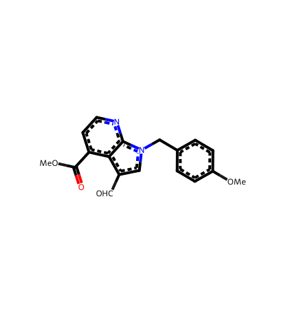 COC(=O)c1ccnc2c1c(C=O)cn2Cc1ccc(OC)cc1